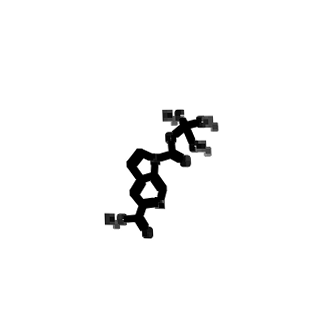 CC(=O)c1cc2ccn(C(=O)OC(C)(C)C)c2cn1